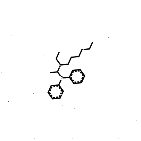 CCCCCCC(CC)C(C)P(c1ccccc1)c1ccccc1